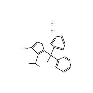 CC(C)C1=C(C(C)(c2ccccc2)c2ccccc2)CC=[C]1[Ti+3].[Cl-].[Cl-].[Cl-]